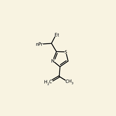 C=C(C)c1csc(C(CC)CCC)n1